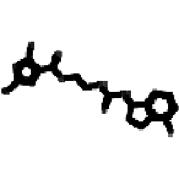 O=C(OCCNC(=S)NC1CCc2c(F)cccc21)c1cc(Cl)sc1Cl